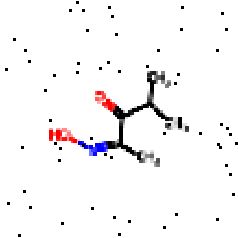 C/C(=N/O)C(=O)C(C)C